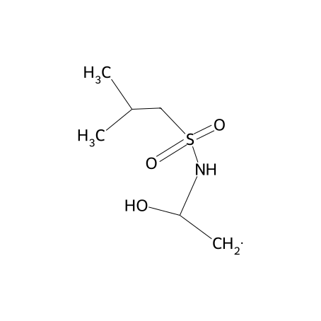 [CH2]C(O)NS(=O)(=O)CC(C)C